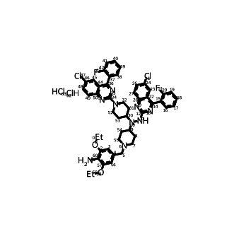 CCOc1cc(CN2CCC(N(Nc3nc(-c4ccccc4F)c4cc(Cl)ccc4n3)C3CCN(c4nc(-c5ccccc5F)c5cc(Cl)ccc5n4)CC3)CC2)cc(OCC)c1N.Cl.Cl